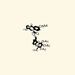 COc1ccc2c(c1)C(=O)N1CCC(O)C1CN2C(=O)OCc1cccc([N+](=O)[O-])c1OC1O[C@H](COC(C)=O)[C@@H](OC(C)=O)[C@H](OC(C)=O)[C@H]1OC(C)=O